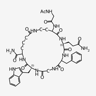 CC(=O)NCC(=O)NC1CCNC(=O)CCCC(C(N)=O)NC(=O)[C@H](Cc2c[nH]c3ccccc23)NC(=O)CNC(=O)C(Cc2ccccc2)NC(=O)[C@H](CCC(N)=O)NC1=O